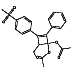 CCC1C(c2ccc(S(C)(=O)=O)cc2)=C(c2ccccc2)C1(OC(C)=O)OC(C)=O